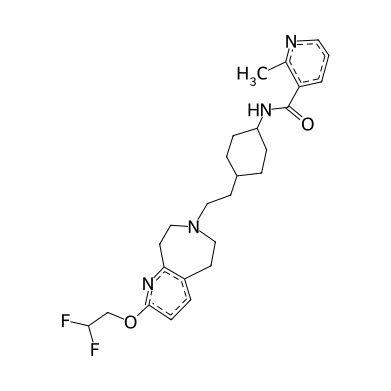 Cc1ncccc1C(=O)NC1CCC(CCN2CCc3ccc(OCC(F)F)nc3CC2)CC1